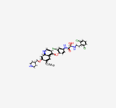 COc1cc2c(Oc3ccc(NC(=O)C(O)NCCc4c(Cl)cccc4Cl)cc3F)ccnc2cc1OCC1CCNCC1